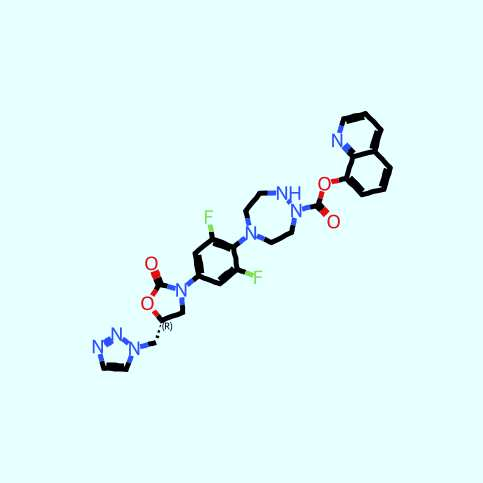 O=C(Oc1cccc2cccnc12)N1CCN(c2c(F)cc(N3C[C@H](Cn4ccnn4)OC3=O)cc2F)CCN1